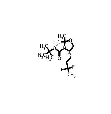 CC(F)(F)CC[C@H]1COC(C)(C)N1C(=O)OC(C)(C)C